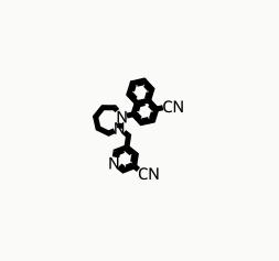 N#Cc1cncc(CN2CCCCCN2c2ccc(C#N)c3ccccc23)c1